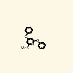 CSc1cc(Oc2ccccc2)cc(Oc2ccccc2)n1